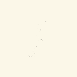 CCCCCCCCCOC1CCC(C2CC[C@]3(CC2)C[C@@]2(CC[C@H](C4CCC(OCCCCCCCCC)CC4)CC2)C3=O)CC1